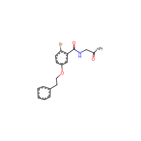 CCCC(=O)CNC(=O)c1cc(OCCc2ccccc2)ccc1Br